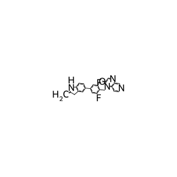 C=C1Cc2cc(-c3cc(F)c(Cn4c(=O)cnc5cnccc54)c(F)c3)ccc2N1